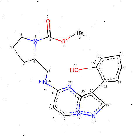 CC(C)(C)OC(=O)N1CCCC1CNc1ccn2ncc(-c3ccccc3O)c2n1